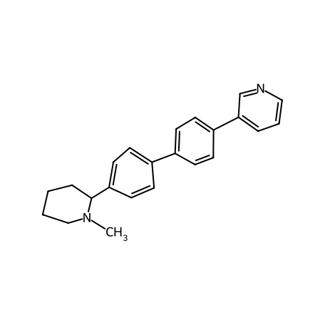 CN1CCCCC1c1ccc(-c2ccc(-c3cccnc3)cc2)cc1